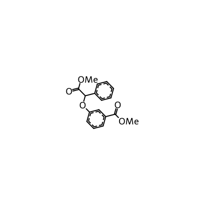 COC(=O)c1cccc(OC(C(=O)OC)c2ccccc2)c1